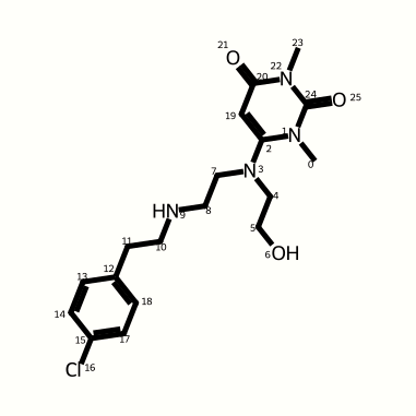 Cn1c(N(CCO)CCNCCc2ccc(Cl)cc2)cc(=O)n(C)c1=O